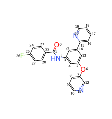 O=C(Nc1cc(Oc2cccnc2)cc(-c2ccccn2)c1)c1ccc(F)cc1